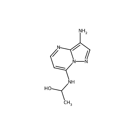 CC(O)Nc1ccnc2c(N)cnn12